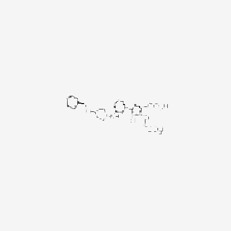 O=C(O)COc1c(C(=O)O)sc(-c2cccc(NC3CCC(OCc4ccccc4)CC3)c2)c1Cl